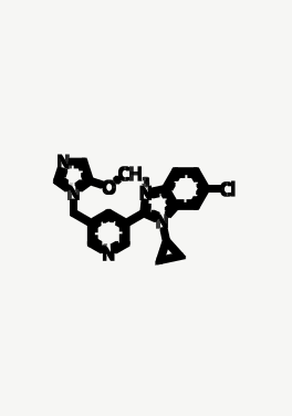 COc1cncn1Cc1cncc(-c2nc3ccc(Cl)cc3n2C2CC2)c1